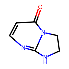 O=c1ccnc2n1CCN2